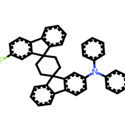 Fc1ccc2c(c1)C1(CCC3(CC1)c1ccccc1-c1ccc(N(c4ccccc4)c4ccccc4)cc13)c1ccccc1-2